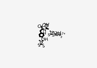 CC(=O)NC(Cc1ccc(O)cc1)C(=O)O.CN(C)C(=S)[S-].CN(C)C(=S)[S-].O[SiH3].[Cu+2]